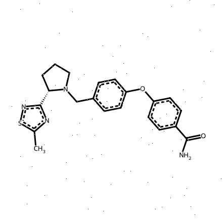 Cc1nc([C@@H]2CCCN2Cc2ccc(Oc3ccc(C(N)=O)cc3)cc2)ns1